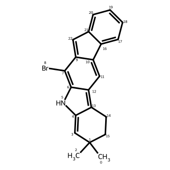 CC1(C)C=c2[nH]c3c(Br)c4c(cc3c2CC1)-c1ccccc1C=4